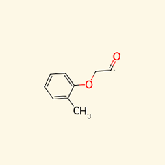 Cc1ccccc1OC[C]=O